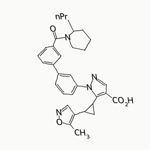 CCCC1CCCCN1C(=O)c1cccc(-c2cccc(-n3ncc(C(=O)O)c3C3CC3c3cnoc3C)c2)c1